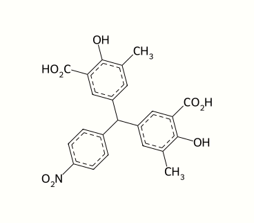 Cc1cc(C(c2ccc([N+](=O)[O-])cc2)c2cc(C)c(O)c(C(=O)O)c2)cc(C(=O)O)c1O